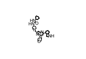 O=C(Nc1ccccc1)NC1CCN(Cc2cc3nc(-c4cccc5[nH]ccc45)cc(N4CCOCC4)n3n2)CC1